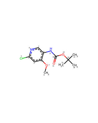 COc1cc(Cl)ncc1NC(=O)OC(C)(C)C